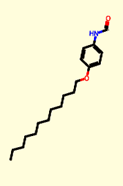 CCCCCCCCCCCCOc1ccc(N[C]=O)cc1